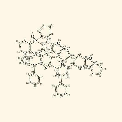 O=P1(c2ccccc2)c2ccccc2C2(c3ccccc3N(c3ccccc3)c3cc(-c4nc(-c5ccccc5)nc(-c5ccc6oc7ccccc7c6c5)n4)ccc32)c2cc3c(cc21)oc1ccccc13